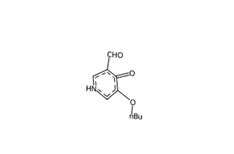 CCCCOc1c[nH]cc(C=O)c1=O